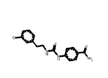 NC(=O)c1ccc(NC(=S)NCCc2cccc(Cl)c2)cc1